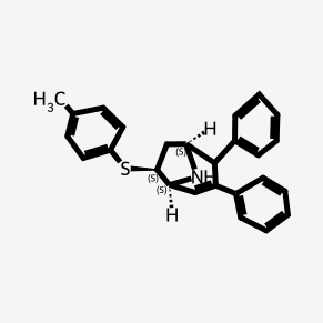 Cc1ccc(S[C@H]2C[C@@H]3N[C@H]2C=C(c2ccccc2)C3c2ccccc2)cc1